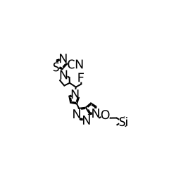 C[Si](C)(C)CCOCn1ccc2c(-c3ccn(C(CF)C4CCN(c5scnc5C#N)C4)c3)ncnc21